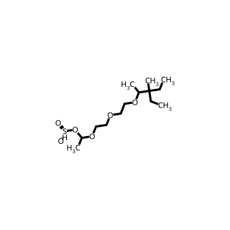 CCC(C)(CC)C(C)OCCOCCOC(C)O[SH](=O)=O